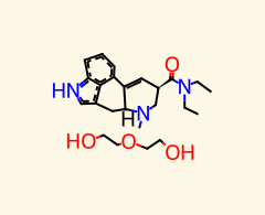 CCN(CC)C(=O)[C@@H]1C=C2c3cccc4[nH]cc(c34)C[C@H]2N(C)C1.OCCOCCO